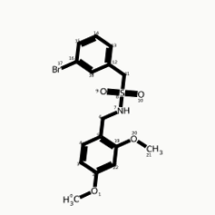 COc1ccc(CNS(=O)(=O)Cc2cccc(Br)c2)c(OC)c1